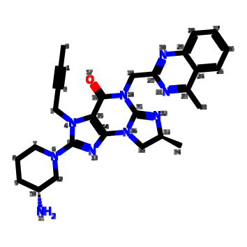 CC#CCn1c(N2CCC[C@@H](N)C2)nc2c1C(=O)N(Cc1nc(C)c3ccccc3n1)C1=N[C@@H](C)CN12